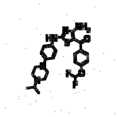 CC(C)N1CCN(c2ccc(Nc3nc(N)c(C(=O)c4ccc(OC(F)F)cc4)s3)cc2)CC1